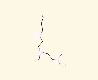 CCCCCCCCCCCCCNCCN(C)CCN(C)CCCC